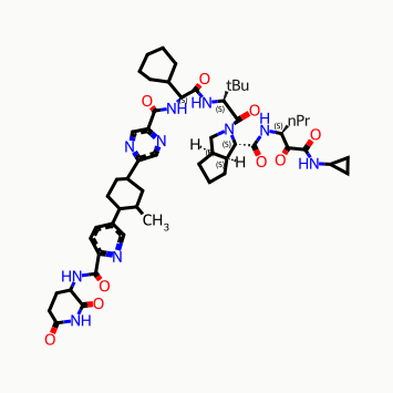 CCC[C@H](NC(=O)[C@@H]1[C@H]2CCC[C@H]2CN1C(=O)[C@@H](NC(=O)[C@@H](NC(=O)c1cnc(C2CCC(c3ccc(C(=O)NC4CCC(=O)NC4=O)nc3)C(C)C2)cn1)C1CCCCC1)C(C)(C)C)C(=O)C(=O)NC1CC1